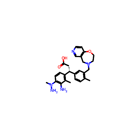 Cc1ccc([C@@H](CC(=O)O)c2ccc(N(C)N)c(N)c2C)cc1CN1CCOc2ccncc2C1